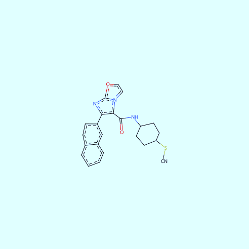 N#CSC1CCC(NC(=O)c2c(-c3ccc4ccccc4c3)nc3occn23)CC1